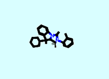 Cc1ccccc1N1C(C)N2c3ccccc3C(C)(C3CCCCC3)C2[C@@H]1C